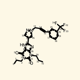 CCCn1c(=O)c2[nH]c(-c3cnn(CC#Cc4cccc(C(F)(F)F)c4)c3)nc2n(CCC)c1=O